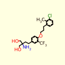 Cc1c(Cl)cccc1CCCOc1ccc(CCC(N)(CO)CO)cc1C(F)(F)F